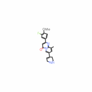 COc1ccc(-c2cc(=O)n3cc(C4=CCNCC4)cc(C)c3n2)cc1F